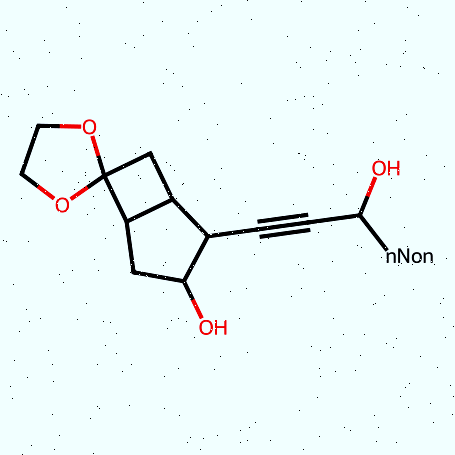 CCCCCCCCCC(O)C#CC1C(O)CC2C1CC21OCCO1